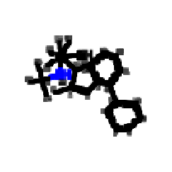 CC1=Cc2c(-c3ccccc3)cccc2[CH]1[Ti]([CH3])([CH3])([CH3])([CH3])([SiH3])[NH]C(C)(C)C